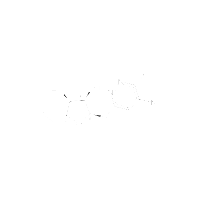 Nc1cc(O[C@H]2O[C@H](CO)[C@@H](O)[C@H]2O)nnc1Cl